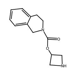 O=C(OC1CNC1)N1CCc2ccccc2C1